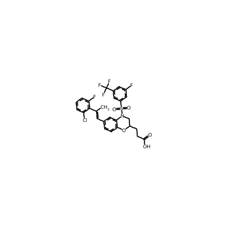 CC(=Cc1ccc2c(c1)N(S(=O)(=O)c1cc(F)cc(C(F)(F)F)c1)CC(CCC(=O)O)O2)c1c(F)cccc1Cl